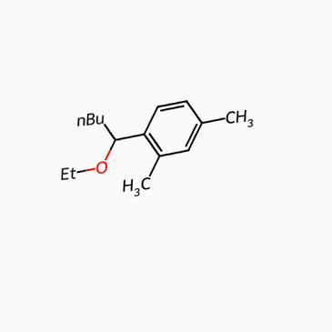 CCCCC(OCC)c1ccc(C)cc1C